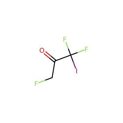 O=C(CF)C(F)(F)I